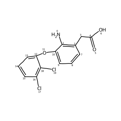 Nc1c(CC(=O)O)cccc1Oc1cccc(Cl)c1Cl